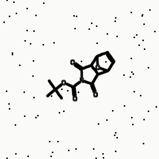 CC(C)(C)OC(=O)N1C(=O)C2C3C=CC(O3)C2C1=O